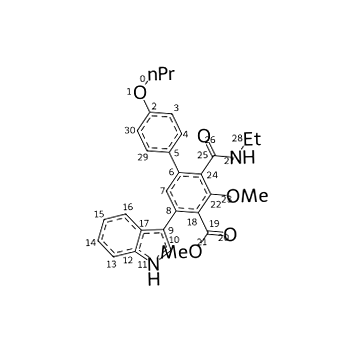 CCCOc1ccc(-c2cc(-c3c[nH]c4ccccc34)c(C(=O)OC)c(OC)c2C(=O)NCC)cc1